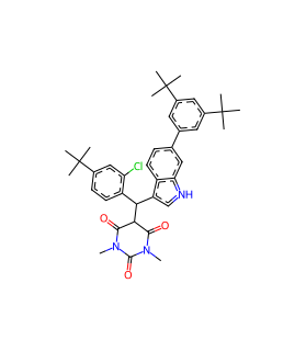 CN1C(=O)C(C(c2ccc(C(C)(C)C)cc2Cl)c2c[nH]c3cc(-c4cc(C(C)(C)C)cc(C(C)(C)C)c4)ccc23)C(=O)N(C)C1=O